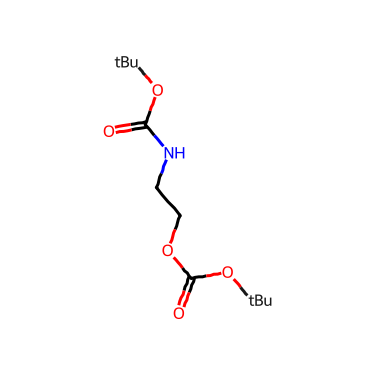 CC(C)(C)OC(=O)NCCOC(=O)OC(C)(C)C